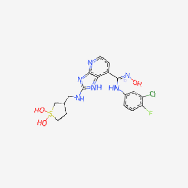 O/N=C(\Nc1ccc(F)c(Cl)c1)c1ccnc2nc(NCC3CCS(O)(O)C3)[nH]c12